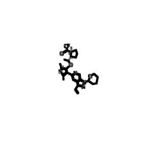 C=Cc1nn(C2CCCCO2)c2cnc(-c3c(C)nn(C)c3OC(C)[C@H]3CCCN3C(=O)C(F)(F)F)cc12